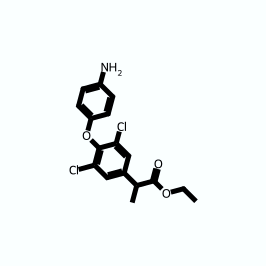 CCOC(=O)C(C)c1cc(Cl)c(Oc2ccc(N)cc2)c(Cl)c1